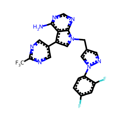 Nc1ncnc2c1c(-c1cnc(C(F)(F)F)nc1)cn2Cc1cnn(-c2ccc(F)cc2F)c1